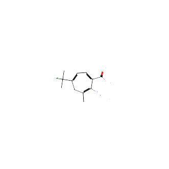 CC1=C(N)C(C(=O)O)=CC=C(C(C)(C)F)C1